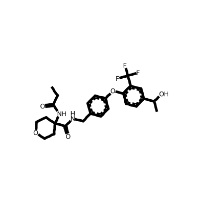 CCC(=O)NC1(C(=O)NCc2ccc(Oc3ccc(C(C)O)cc3C(F)(F)F)cc2)CCOCC1